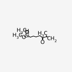 C=C(C)C(=O)CCCC[SiH](OC)OC